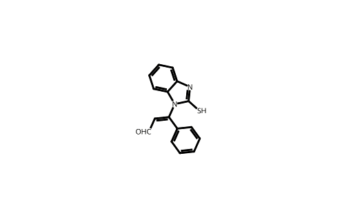 O=CC=C(c1ccccc1)n1c(S)nc2ccccc21